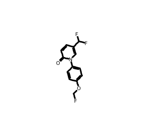 O=c1ccc(C(F)F)cn1-c1ccc(OCF)cc1